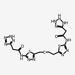 O=C(CC1=NNNN1)Nc1nnc(CCCCc2nnc(NC(=O)Cc3nn[nH]n3)s2)s1